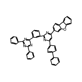 c1ccc(-c2ccc(-c3cc(-c4ccc5c(c4)oc4ccccc45)nc(-c4cccc(-c5nc(-c6ccccc6)nc(-c6ccccc6)n5)c4)n3)cc2)cc1